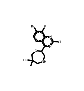 CC1(O)CNCC(c2nc(Cl)nc3c(F)c(Br)ccc23)OC1